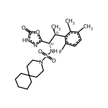 Cc1ccc(F)c([C@H](C)[C@H](NS(=O)(=O)N2CCC3(CCCCC3)CC2)c2n[nH]c(=O)o2)c1C